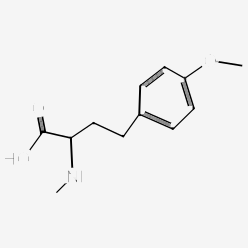 CNC(CCc1ccc(OC)cc1)C(=O)O